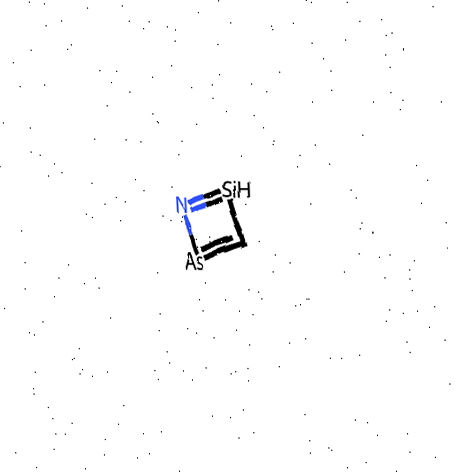 C1=[As]N=[SiH]1